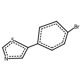 Brc1ccc(-c2cncs2)cc1